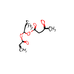 C=CC(=O)OC(CC)OC(=O)CC(C)=O